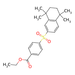 CCOC(=O)c1ccc(S(=O)(=O)c2ccc3c(c2)C(C)(C)CCC3(C)C)cc1